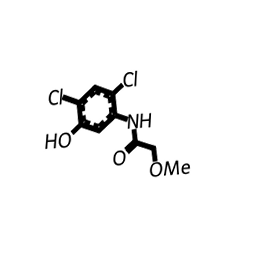 COCC(=O)Nc1cc(O)c(Cl)cc1Cl